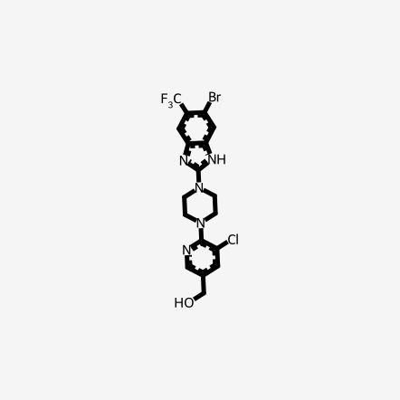 OCc1cnc(N2CCN(c3nc4cc(C(F)(F)F)c(Br)cc4[nH]3)CC2)c(Cl)c1